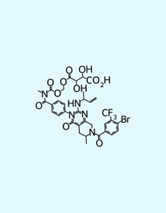 C=CC(C)Nc1nc2c(c(=O)n1-c1ccc(C(=O)N(C)C(=O)OCOC(=O)C(O)C(O)C(=O)O)cc1)CC(C)N(C(=O)c1ccc(Br)c(C(F)(F)F)c1)C2